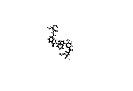 Cc1cnc(Nc2cc(C)n(C)n2)nc1-c1c[nH]c2c(N3Cc4c(/C=C/C(=O)N(C)C)cccc4C3=O)cccc12